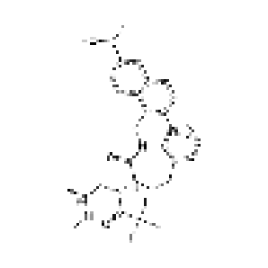 CN[C@@H](C)CN(C(=O)C(F)(F)F)[C@H]1CCc2ccccc2N(Cc2c(OC)ccc3cc(C(C)O)ccc23)C1=O